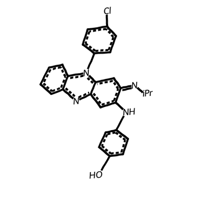 CC(C)N=c1cc2n(-c3ccc(Cl)cc3)c3ccccc3nc-2cc1Nc1ccc(O)cc1